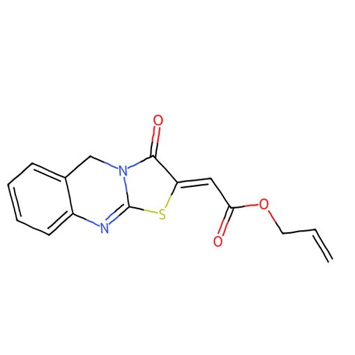 C=CCOC(=O)C=c1sc2n(c1=O)Cc1ccccc1N=2